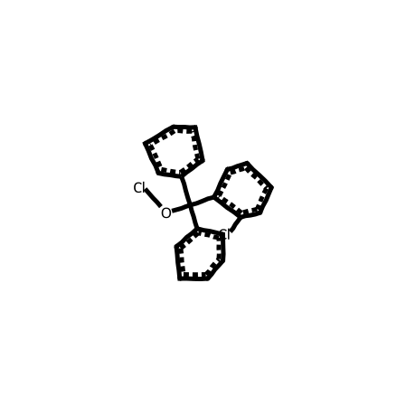 ClOC(c1ccccc1)(c1ccccc1)c1ccccc1Cl